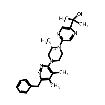 Cc1c(Cc2ccccc2)nnc(N2CCN(c3cnc(C(C)(C)O)cn3)[C@@H](C)C2)c1C